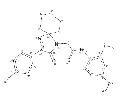 COc1ccc(NC(=O)CN2C(=O)C(c3ccc(F)cc3)=NC23CCCCC3)c(OC)c1